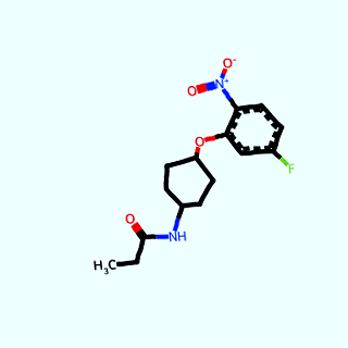 CCC(=O)NC1CCC(Oc2cc(F)ccc2[N+](=O)[O-])CC1